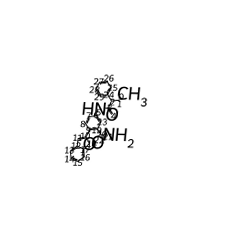 CCC(C(=O)Nc1ccc(-c2cc3ccccc3o2)c(C(N)=O)c1)c1ccccc1